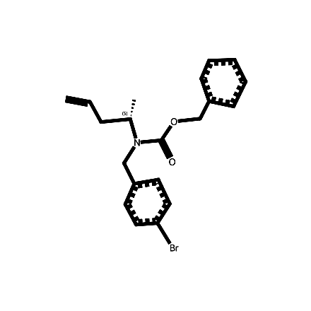 C=CC[C@H](C)N(Cc1ccc(Br)cc1)C(=O)OCc1ccccc1